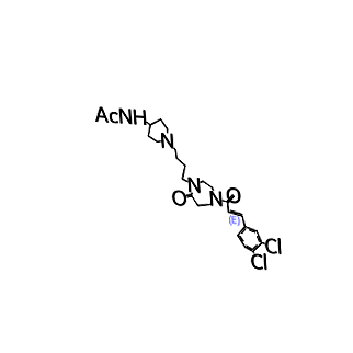 CC(=O)NC1CCN(CCCCN2CCN(C(=O)/C=C/c3ccc(Cl)c(Cl)c3)CCC2=O)CC1